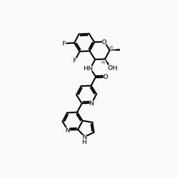 C[C@@H]1Oc2ccc(F)c(F)c2C(NC(=O)c2ccc(-c3ccnc4[nH]ccc34)nc2)[C@@H]1O